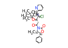 C[C@H]1[C@@H](c2ccccc2)OC(=O)N1C(=O)C[C@H](O[Si](C)(C)C(C)(C)C)/C(Cl)=C/c1ccccn1